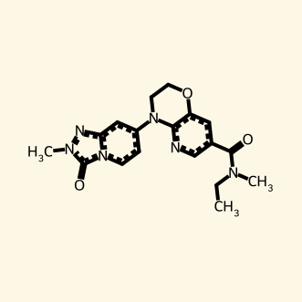 CCN(C)C(=O)c1cnc2c(c1)OCCN2c1ccn2c(=O)n(C)nc2c1